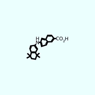 CC1(C)CCC(C)(C)c2cc(Nc3ccc4cc(C(=O)O)ccc4c3)ccc21